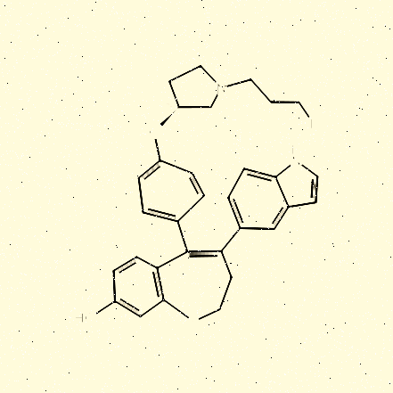 Oc1ccc2c(c1)SCCC(c1ccc3[nH]ccc3c1)=C2c1ccc(O[C@H]2CCN(CCCF)C2)cc1